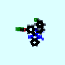 Cl.Cl.NC1CCCCC1Nc1nc(/C=C\c2ccc(Cl)cc2)nc2ccc(O)cc12